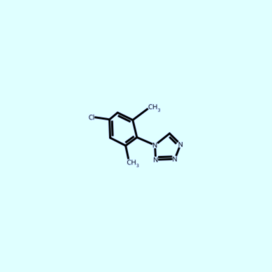 Cc1cc(Cl)cc(C)c1-n1cnnn1